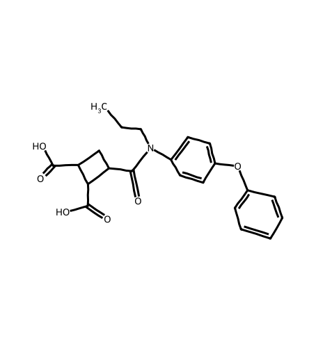 CCCN(C(=O)C1CC(C(=O)O)C1C(=O)O)c1ccc(Oc2ccccc2)cc1